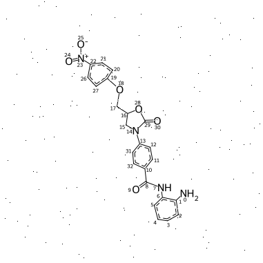 Nc1ccccc1NC(=O)c1ccc(N2CC(COc3ccc([N+](=O)[O-])cc3)OC2=O)cc1